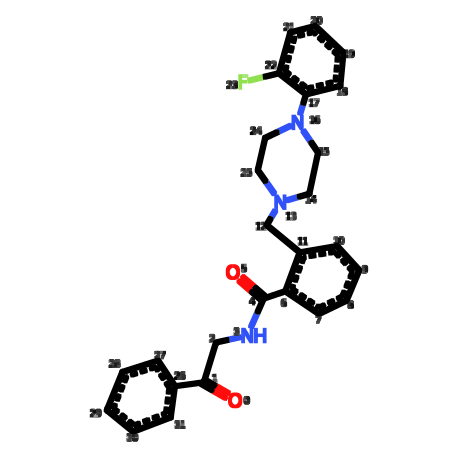 O=C(CNC(=O)c1ccccc1CN1CCN(c2ccccc2F)CC1)c1ccccc1